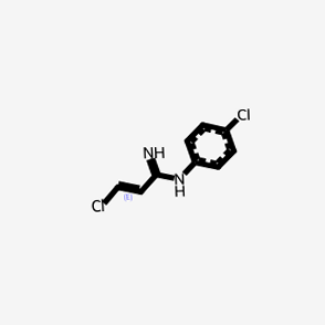 N=C(/C=C/Cl)Nc1ccc(Cl)cc1